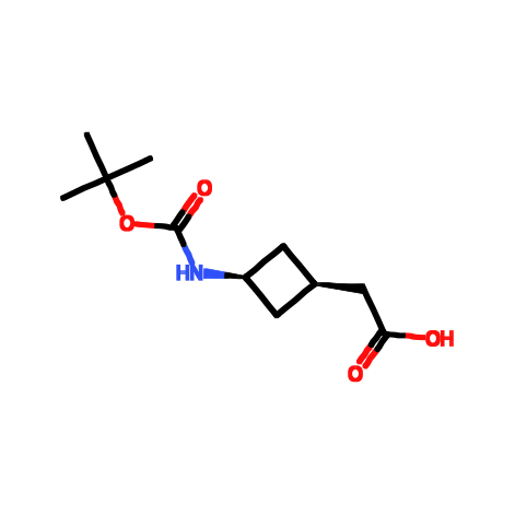 CC(C)(C)OC(=O)N[C@H]1C[C@@H](CC(=O)O)C1